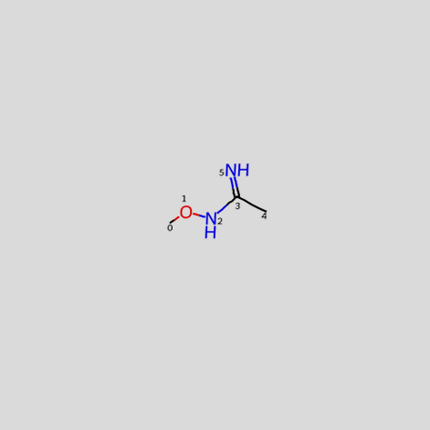 CONC(C)=N